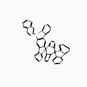 c1ccc2c(c1)-c1ccccc1C21c2ccccc2C2(c3ccccc3-c3cc4c(cc32)c2ccccc2n4-c2ccc3ccccc3c2)c2ccccc21